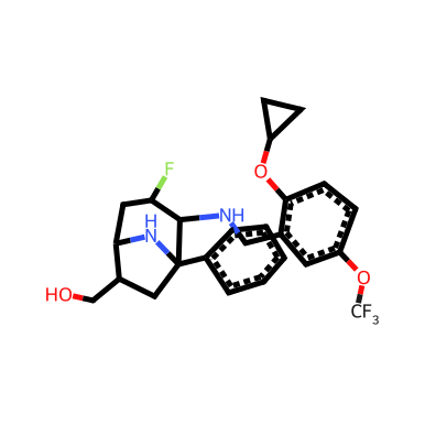 OCC1CC2(c3ccccc3)NC1CC(F)C2NCc1cc(OC(F)(F)F)ccc1OC1CC1